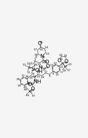 CC(C)[C@H](NC(=O)C(Cc1ccc(C2(C(C)(C)C)OCCO2)cc1)CC(O[Si](C)(C)C(C)(C)C)C(Cc1ccccc1)NC(=O)OC(C)(C)C)C(=O)N1CCC(=O)CC1